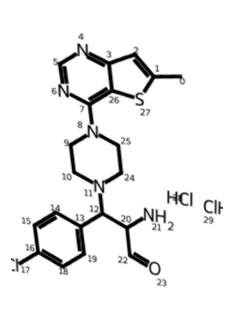 Cc1cc2ncnc(N3CCN(C(c4ccc(Cl)cc4)C(N)C=O)CC3)c2s1.Cl.Cl